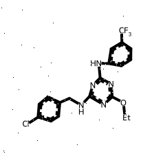 CCOc1nc(NCc2ccc(Cl)cc2)nc(Nc2cccc(C(F)(F)F)c2)n1